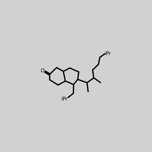 CC(C)CCCC(C)C(C)C1CCC2CC(=O)CCC2C1CC(C)C